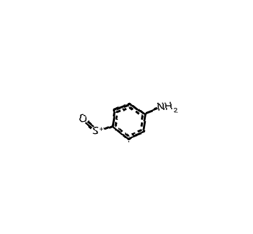 Nc1c[c]c([S+]=O)cc1